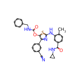 Cc1ccc(C(=O)NC2CC2)cc1Nc1nc(-c2cccc(C#N)c2)c(OC(=O)NCc2ccccc2)s1